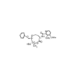 CCCC[C@H]1[C@H](C)OC(=O)[C@@H](NC(=O)c2nccc(OC)c2OC(C)=O)CCO[C@@H]1COc1ccccc1